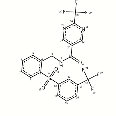 O=C(NCc1ccccc1S(=O)(=O)c1cccc(C(F)(F)F)c1)c1cnc(C(F)(F)F)nc1